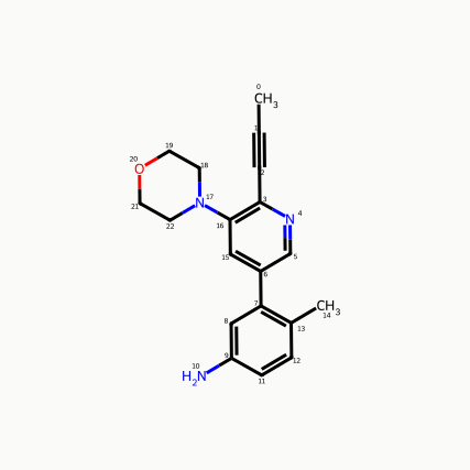 CC#Cc1ncc(-c2cc(N)ccc2C)cc1N1CCOCC1